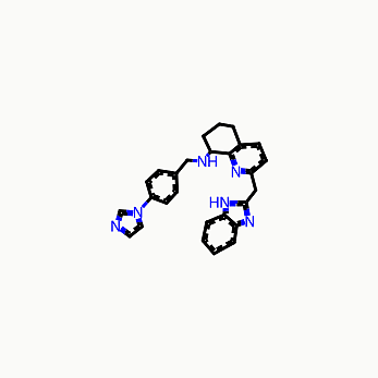 c1ccc2[nH]c(Cc3ccc4c(n3)C(NCc3ccc(-n5ccnc5)cc3)CCC4)nc2c1